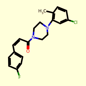 Cc1ccc(Cl)cc1N1CCN(C(=O)/C=C\c2ccc(F)cc2)CC1